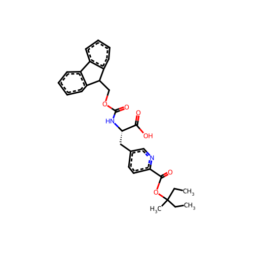 CCC(C)(CC)OC(=O)c1ccc(C[C@H](NC(=O)OCC2c3ccccc3-c3ccccc32)C(=O)O)cn1